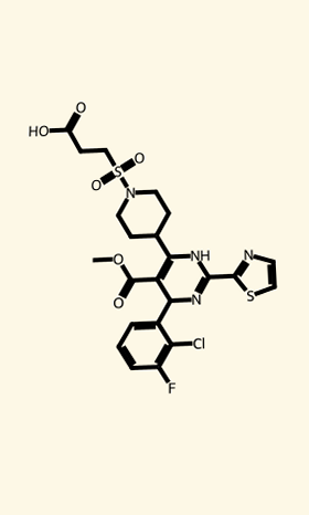 COC(=O)C1=C(C2CCN(S(=O)(=O)CCC(=O)O)CC2)NC(c2nccs2)=NC1c1cccc(F)c1Cl